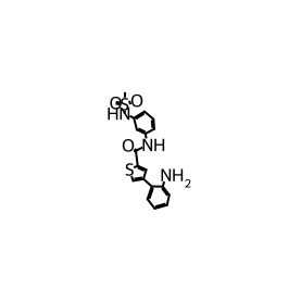 CS(=O)(=O)Nc1cccc(NC(=O)c2cc(-c3ccccc3N)cs2)c1